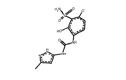 Cc1cc(NC(=O)Nc2ccc(Cl)c(S(N)(=O)=O)c2O)[nH]n1